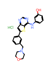 Cl.Oc1cccc(Nc2ncnc3cc(-c4cccc(CN5CCOCC5)c4)sc23)c1